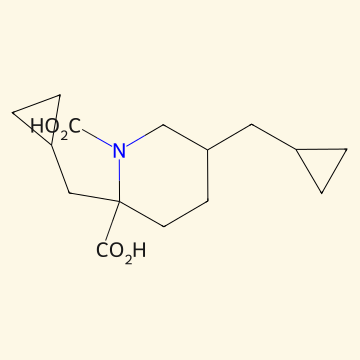 O=C(O)N1CC(CC2CC2)CCC1(CC1CC1)C(=O)O